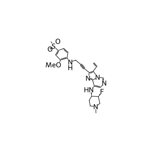 C=Cc1c(C#CCNc2ccc(S(C)(=O)=O)cc2OC)nc2c(N[C@@H]3CCN(C)C[C@@H]3F)cncn12